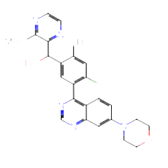 COc1nccnc1C(O)c1cc(-c2ncnc3cc(N4CCOCC4)ccc23)c(F)cc1C